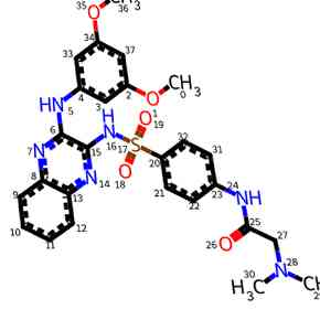 COc1cc(Nc2nc3ccccc3nc2NS(=O)(=O)c2ccc(NC(=O)CN(C)C)cc2)cc(OC)c1